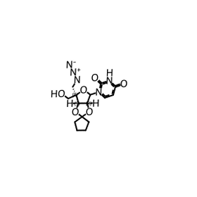 [N-]=[N+]=NC[C@]1(CO)OC(n2ccc(=O)[nH]c2=O)[C@@H]2OC3(CCCC3)O[C@@H]21